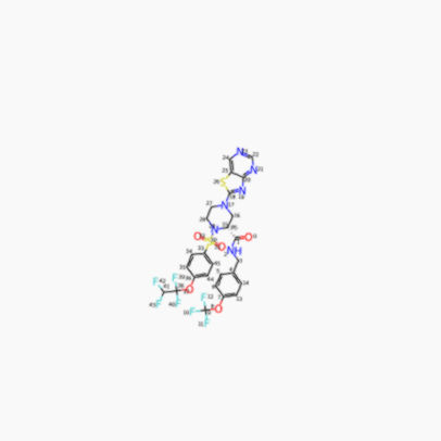 O=C(NCc1ccc(OC(F)(F)F)cc1)[C@H]1CN(c2nc3ncncc3s2)CCN1S(=O)(=O)c1ccc(OC(F)(F)C(F)F)cc1